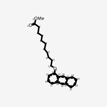 COC(=O)CCCCCCCCCCOc1cccc2cc3ccccc3cc12